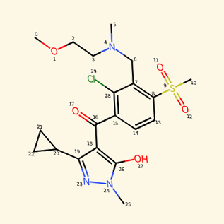 COCCN(C)Cc1c(S(C)(=O)=O)ccc(C(=O)c2c(C3CC3)nn(C)c2O)c1Cl